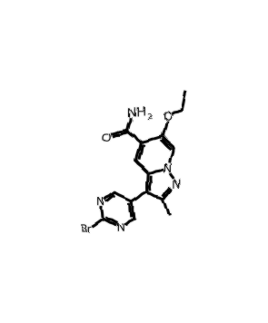 CCOc1cn2nc(C)c(-c3cnc(Br)nc3)c2cc1C(N)=O